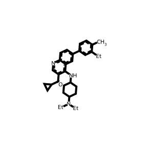 CCc1cc(-c2ccc3ncc(C(=O)C4CC4)c(NC4CCC(N(CC)CC)CC4)c3c2)ccc1C